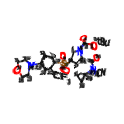 CC(C)(C)OC(=O)N1C[C@H](S(=O)(=O)c2ccc(N3CCOCC3)cc2C(F)(F)F)C[C@H]1C(=O)N(C#N)C1CC1